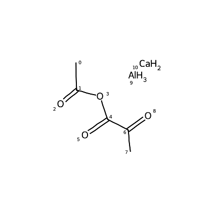 CC(=O)OC(=O)C(C)=O.[AlH3].[CaH2]